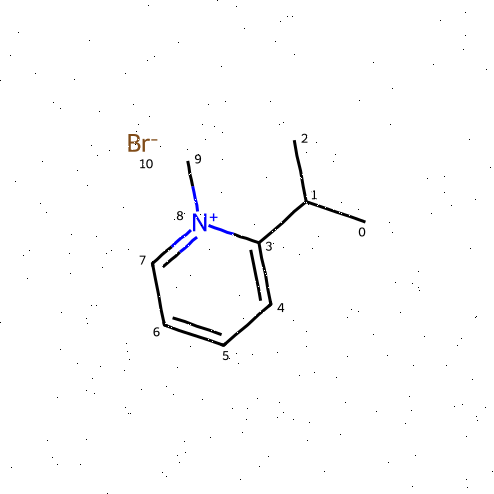 CC(C)c1cccc[n+]1C.[Br-]